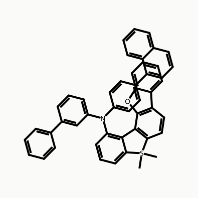 CS1(C)c2cccc(N(c3ccc(-c4cccc5ccccc45)cc3)c3cccc(-c4ccccc4)c3)c2-c2c1ccc1c2oc2ccccc21